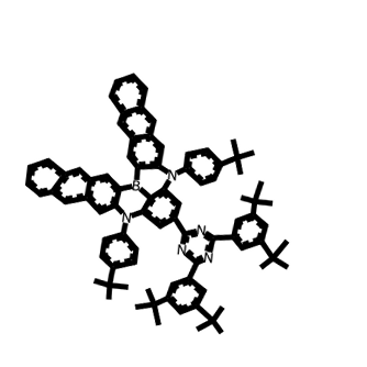 CC(C)(C)c1ccc(N2c3cc4cc5ccccc5cc4cc3B3c4cc5cc6ccccc6cc5cc4N(c4ccc(C(C)(C)C)cc4)c4cc(-c5nc(-c6cc(C(C)(C)C)cc(C(C)(C)C)c6)nc(-c6cc(C(C)(C)C)cc(C(C)(C)C)c6)n5)cc2c43)cc1